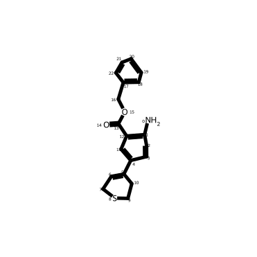 Nc1ccc(C2=CCSCC2)cc1C(=O)OCc1ccccc1